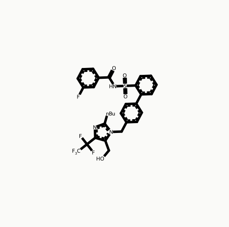 CCCCc1nc(C(F)(F)C(F)(F)F)c(CO)n1Cc1ccc(-c2ccccc2S(=O)(=O)NC(=O)c2cccc(F)c2)cc1